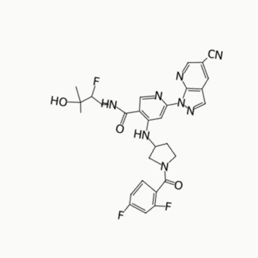 CC(C)(O)C(F)CNC(=O)c1cnc(-n2ncc3cc(C#N)cnc32)cc1NC1CCN(C(=O)c2ccc(F)cc2F)C1